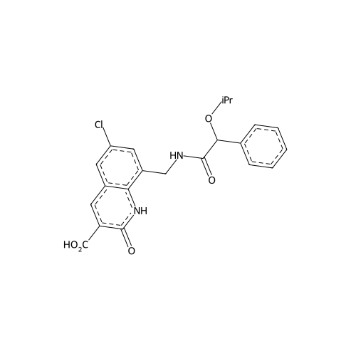 CC(C)OC(C(=O)NCc1cc(Cl)cc2cc(C(=O)O)c(=O)[nH]c12)c1ccccc1